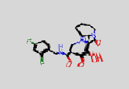 CC1C2CCCCN1C(=O)c1c(O)c(=O)c(C(=O)NCc3ccc(F)cc3F)cn12